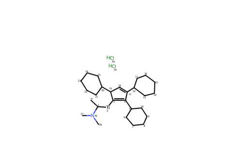 C[CH]([Ti][C]1=C(C2CCCCC2)C(C2CCCCC2)=CC1C1CCCCC1)N(C)C.Cl.Cl